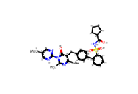 CCCCc1nc(C)n(-c2ncc(OC)cn2)c(=O)c1Cc1ccc(-c2ccccc2S(=O)(=O)NC(=O)C2CCCC2)cc1